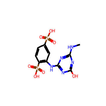 CNc1nc(O)nc(Nc2cc(S(=O)(=O)O)ccc2S(=O)(=O)O)n1